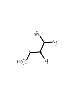 CCC[CH]([Na])C(CC)CC(=O)O